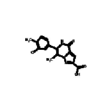 Cc1ccc(-c2[nH]c(=O)c3cc(C(=O)O)nn3c2C)cc1Cl